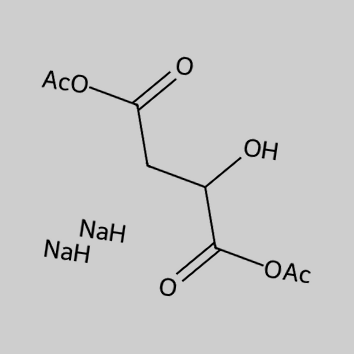 CC(=O)OC(=O)CC(O)C(=O)OC(C)=O.[NaH].[NaH]